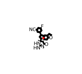 CN1C(=N)N[C@](C)(c2cc(-c3cc(F)cc(C#N)c3)cs2)[C@H](c2ccc3ccoc3c2)C1=O